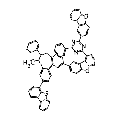 CC1c2cc(-c3cccc4c3sc3ccccc34)ccc2-c2cc(-c3ccc4oc5cccc(-c6nc(-c7ccccc7)nc(-c7ccc8c(c7)C7C=CC=CC7O8)n6)c5c4c3)ccc2CC1C1=CC=CCC1